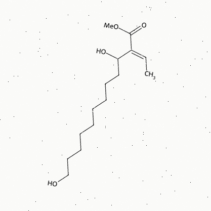 CC=C(C(=O)OC)C(O)CCCCCCCCCO